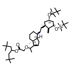 C=C1/C(=C\C=C2/CCC[C@]3(C)C(C(C)OCC(=O)OC(CC(C)(C)C)CC(C)(C)C)=CC[C@@H]23)C[C@@H](O[Si](C)(C)C(C)(C)C)C[C@@H]1O[Si](C)(C)C(C)(C)C